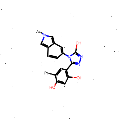 CC(=O)n1cc2ccc(-n3c(O)nnc3-c3cc(C(C)C)c(O)cc3O)cc2c1